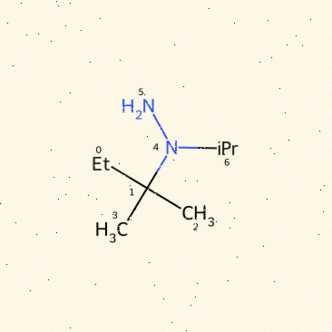 CCC(C)(C)N(N)C(C)C